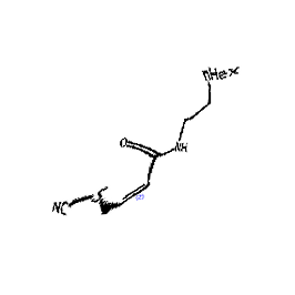 CCCCCCCCNC(=O)/C=C\SC#N